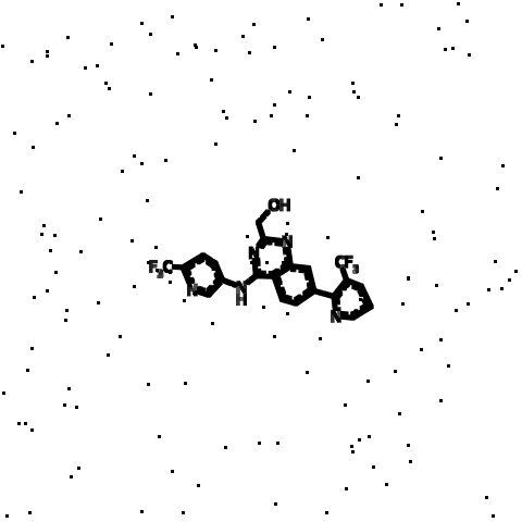 OCc1nc(Nc2ccc(C(F)(F)F)nc2)c2ccc(-c3ncccc3C(F)(F)F)cc2n1